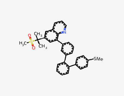 CSc1ccc(-c2ccccc2-c2cccc(-c3cc(C(C)(C)S(C)(=O)=O)cc4cccnc34)c2)cc1